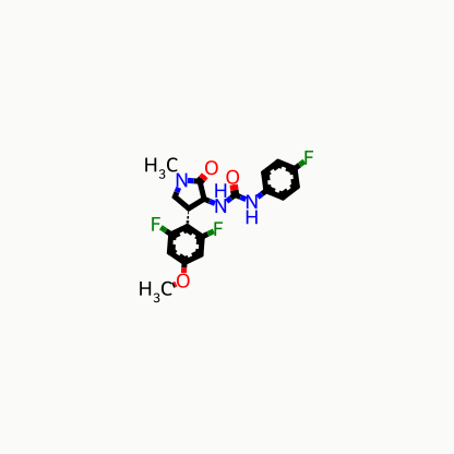 COc1cc(F)c([C@@H]2CN(C)C(=O)C2NC(=O)Nc2ccc(F)cc2)c(F)c1